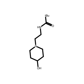 CC(C)(C)C(=O)NCCN1CCC(O)CC1